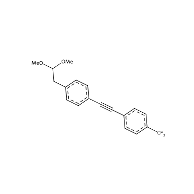 COC(Cc1ccc(C#Cc2ccc(C(F)(F)F)cc2)cc1)OC